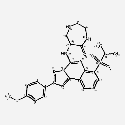 COc1ccc(-c2nc3c4cccc(S(=O)(=O)C(C)C)c4nc(N[C@@H]4CNCCNC4=O)n3n2)cc1